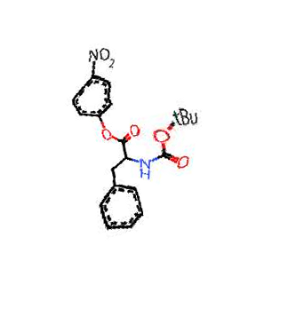 CC(C)(C)OC(=O)NC(Cc1ccccc1)C(=O)Oc1ccc([N+](=O)[O-])cc1